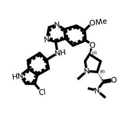 COc1cc2ncnc(Nc3ccc4[nH]cc(Cl)c4c3)c2cc1O[C@H]1C[C@H](C(=O)N(C)C)N(C)C1